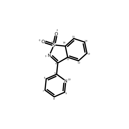 O=S1(=O)N=C(c2ccccn2)c2ccccc21